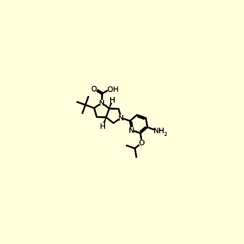 CC(C)Oc1nc(N2C[C@@H]3CC(C(C)(C)C)N(C(=O)O)[C@@H]3C2)ccc1N